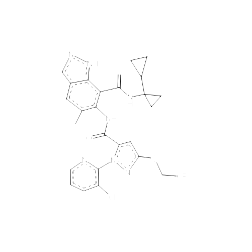 Cc1cc2cn[nH]c2c(C(=O)NC2(C3CC3)CC2)c1NC(=O)c1cc(OCC(F)(F)F)nn1-c1ncccc1Cl